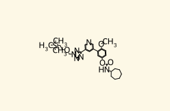 COc1ccc(OC(=O)NC2CCCCCC2)cc1-c1cncc(-c2nnn(COCC[Si](C)(C)C)n2)c1